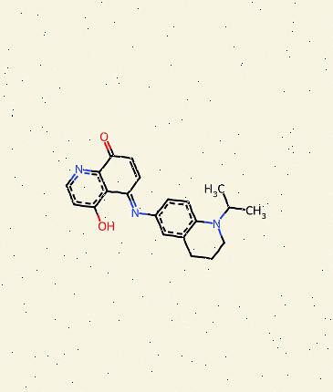 CC(C)N1CCCc2cc(N=C3C=CC(=O)c4nccc(O)c43)ccc21